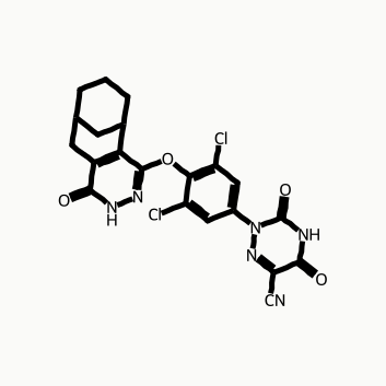 N#Cc1nn(-c2cc(Cl)c(Oc3n[nH]c(=O)c4c3C3CCCC(C4)C3)c(Cl)c2)c(=O)[nH]c1=O